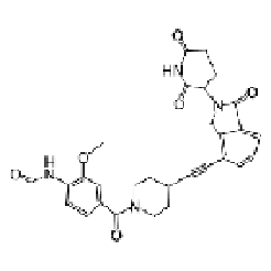 COc1cc(C(=O)N2CCC(C#Cc3cccc4c3CN(C3CCC(=O)NC3=O)C4=O)CC2)ccc1NC=O